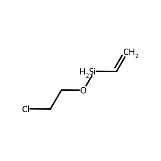 C=C[SiH2]OCCCl